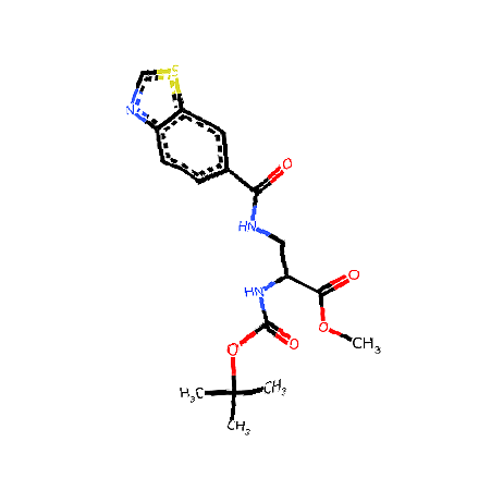 COC(=O)C(CNC(=O)c1ccc2ncsc2c1)NC(=O)OC(C)(C)C